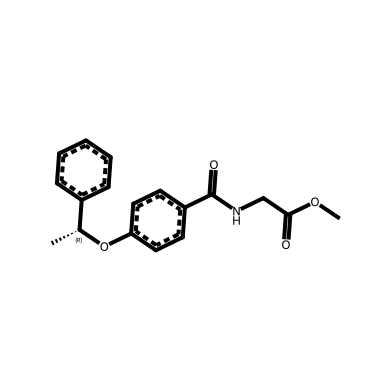 COC(=O)CNC(=O)c1ccc(O[C@H](C)c2ccccc2)cc1